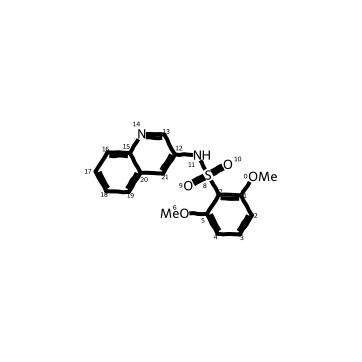 COc1cccc(OC)c1S(=O)(=O)Nc1cnc2ccccc2c1